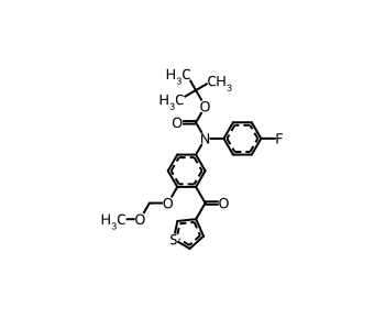 COCOc1ccc(N(C(=O)OC(C)(C)C)c2ccc(F)cc2)cc1C(=O)c1ccsc1